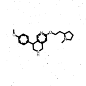 COc1ccc(C2CNCc3cc(OCCC4CCCN4C)ncc32)cc1